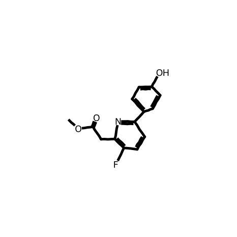 COC(=O)Cc1nc(-c2ccc(O)cc2)ccc1F